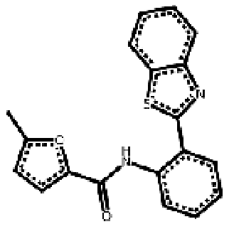 Cc1ccc(C(=O)Nc2ccccc2-c2nc3ccccc3s2)o1